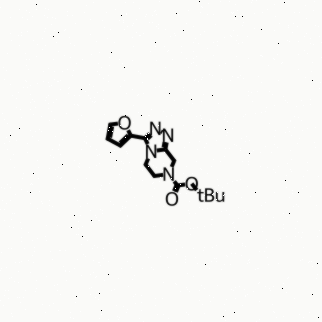 CC(C)(C)OC(=O)N1CCn2c(nnc2-c2ccco2)C1